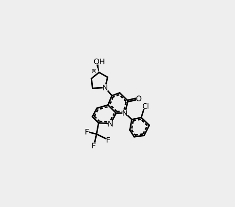 O=c1cc(N2CC[C@@H](O)C2)c2ccc(C(F)(F)F)nc2n1-c1ccccc1Cl